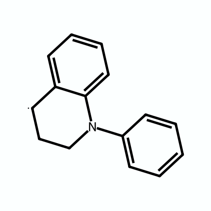 [CH]1CCN(c2ccccc2)c2ccccc21